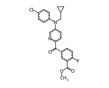 COC(=O)c1cc(C(=O)c2ccc(N(CC3CC3)c3ccc(Cl)cc3)cn2)ccc1F